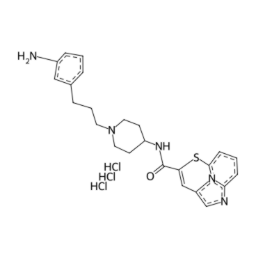 Cl.Cl.Cl.Nc1cccc(CCCN2CCC(NC(=O)C3=Cc4cnc5cccc(n45)S3)CC2)c1